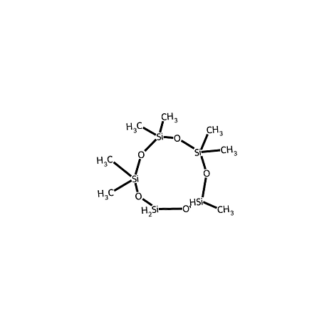 C[SiH]1O[SiH2]O[Si](C)(C)O[Si](C)(C)O[Si](C)(C)O1